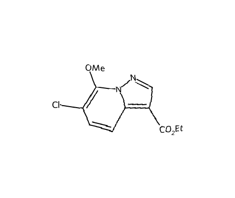 CCOC(=O)c1cnn2c(OC)c(Cl)ccc12